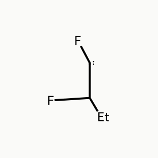 CCC(F)[C]F